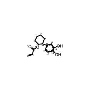 C=CC(=O)OC1CCCCC1c1ccc(O)c(O)c1